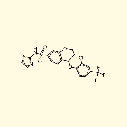 O=S(=O)(Nc1nccs1)c1ccc2c(c1)OCC[C@H]2Oc1ccc(C(F)(F)F)cc1Cl